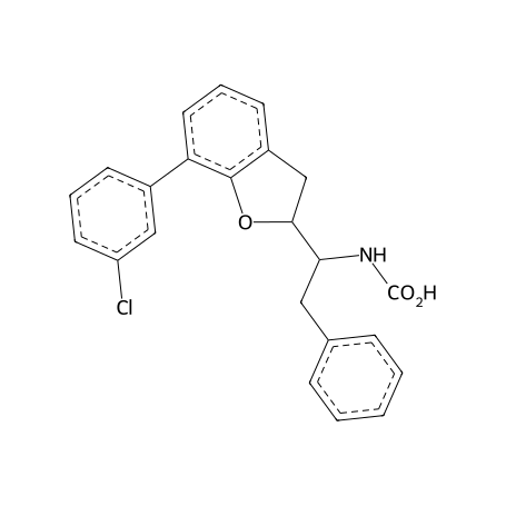 O=C(O)NC(Cc1ccccc1)C1Cc2cccc(-c3cccc(Cl)c3)c2O1